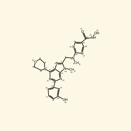 CN(Cc1nc2c(N3CCOCC3)nc(-c3cccc(O)c3)nc2n1C)c1ncc(C(=O)NO)cn1